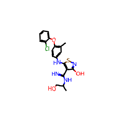 Cc1cc(Nc2snc(O)c2C(=N)NC(C)CO)ccc1Oc1ccccc1Cl